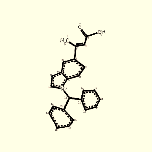 C/C(=C\C(=O)O)c1ccc2c(ccn2C(c2ccccc2)c2ccccc2)c1